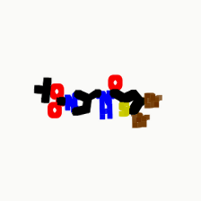 CC(C)(C)OC(=O)N1CC[C@H](CNC(=O)c2cc(Br)c(Br)s2)C1